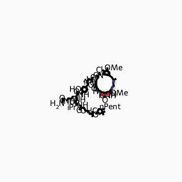 CCCCCC1(C)CC(C=O)(OC(C)(C)CCCCC(=O)N[C@H](C(=O)N[C@@H](CCCNC(N)=O)C(=O)Nc2ccc(C(=O)N(C)[C@@H](C)C(=O)O[C@H]3CC(=O)N(C)c4cc(cc(OC)c4Cl)C/C(C)=C/C=C/[C@@H](OC)[C@@]4(O)C[C@H](OC(=O)N4)[C@@H](C)[C@@H]4O[C@@]34C)cc2O)C(C)C)CC1(C)C